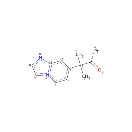 CC(C)C(=O)C(C)(C)c1ccn2ccnc2c1